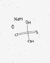 O=S(O)(O)=S.[NaH].[O]